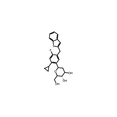 OCC1OC(c2cc(Cc3cc4ccccc4s3)c(F)cc2C2CC2)CC(O)[C@@H]1O